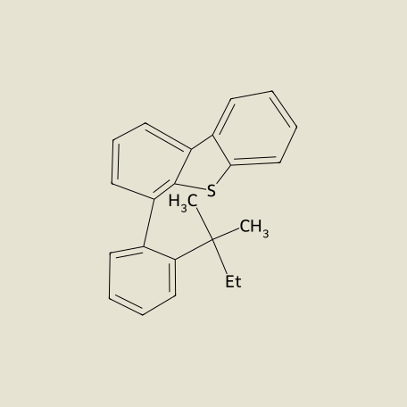 CCC(C)(C)c1ccccc1-c1cccc2c1sc1ccccc12